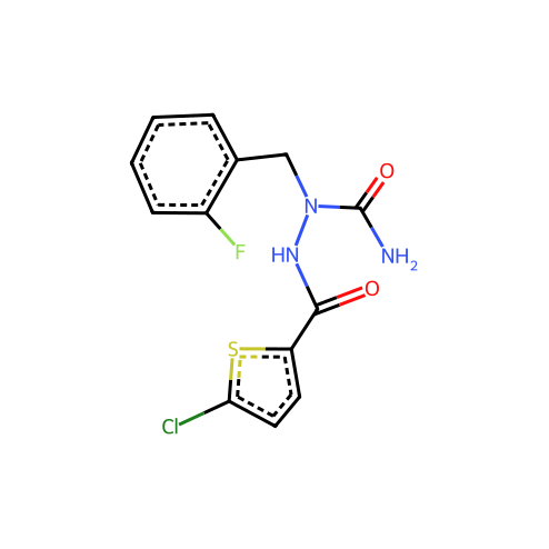 NC(=O)N(Cc1ccccc1F)NC(=O)c1ccc(Cl)s1